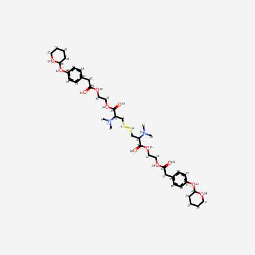 CN(C)C(CSSCC(C(=O)OCCOC(=O)Cc1ccc(OC2CCCCO2)cc1)N(C)C)C(=O)OCCOC(=O)Cc1ccc(OC2CCCCO2)cc1